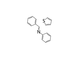 C(=N\c1ccccc1)/c1ccccc1.c1ccsc1